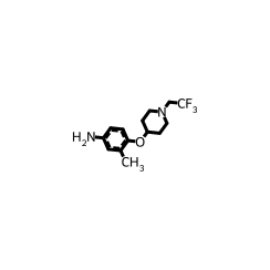 Cc1cc(N)ccc1OC1CCN(CC(F)(F)F)CC1